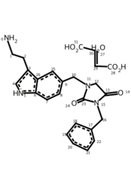 NCCc1c[nH]c2ccc(CN3CC(=O)N(Cc4ccccc4)C3=O)cc12.O.O=C(O)C=CC(=O)O